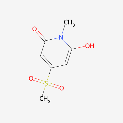 Cn1c(O)cc(S(C)(=O)=O)cc1=O